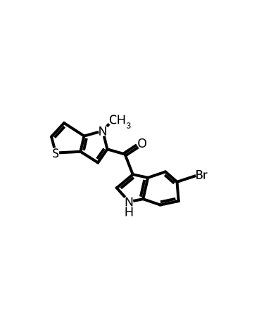 Cn1c(C(=O)c2c[nH]c3ccc(Br)cc23)cc2sccc21